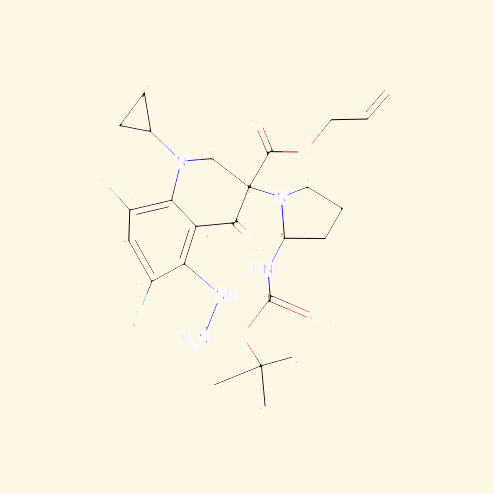 C=CCOC(=O)C1(N2CCCC2NC(=O)OC(C)(C)C)CN(C2CC2)c2c(F)cc(F)c(NN)c2C1=O